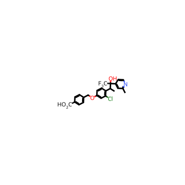 Cc1cc(C(O)(C(C)c2ccc(OCc3ccc(C(=O)O)cc3)cc2Cl)C(F)(F)F)ccn1